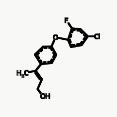 CC(=CCO)c1ccc(Oc2ccc(Cl)cc2F)cc1